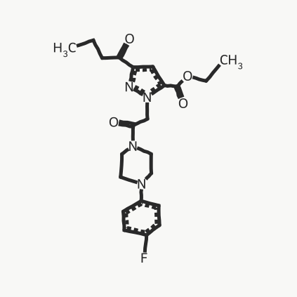 CCCC(=O)c1cc(C(=O)OCC)n(CC(=O)N2CCN(c3ccc(F)cc3)CC2)n1